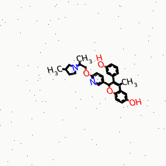 CC1=C(c2cccc(O)c2)C(c2ccc(OCC(C)N3CCC(C)C3)nc2)Oc2ccc(O)cc21